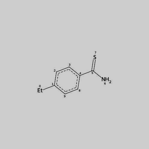 CCc1ccc(C(N)=S)cc1